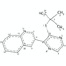 CC(C)(Sc1nccnc1-c1cnc2ccccc2c1)C(=O)O